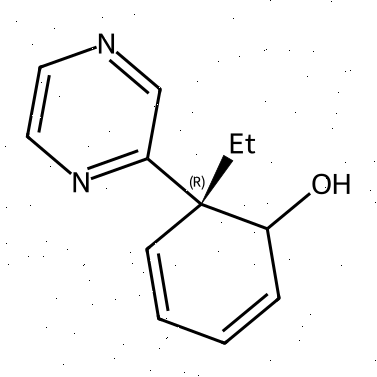 CC[C@]1(c2cnccn2)C=CC=CC1O